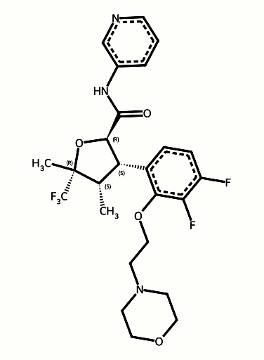 C[C@H]1[C@@H](c2ccc(F)c(F)c2OCCN2CCOCC2)[C@H](C(=O)Nc2cccnc2)O[C@@]1(C)C(F)(F)F